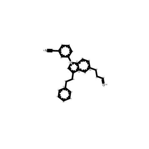 N#Cc1cccc(-n2cc(CCc3ccccc3)c3cc(CCC=O)ccc32)c1